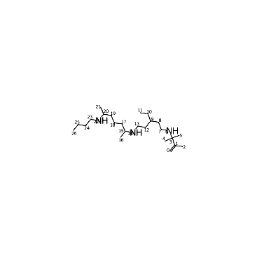 C=C(C)C(C)(C)NCCC(CC)CCNC(C)CCCC(C)NCCCC